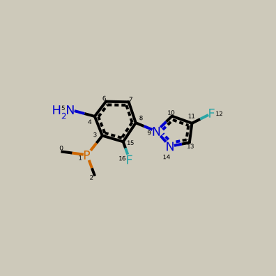 CP(C)c1c(N)ccc(-n2cc(F)cn2)c1F